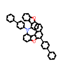 c1ccc(-c2ccc(-c3cc4ccccc4c4c3oc3cccc(N(c5ccc(-c6ccccc6)cc5)c5cccc6oc7ccccc7c56)c34)cc2)cc1